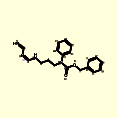 N=C/N=C\NCCCN(C(=O)OCc1ccccc1)c1ccccc1